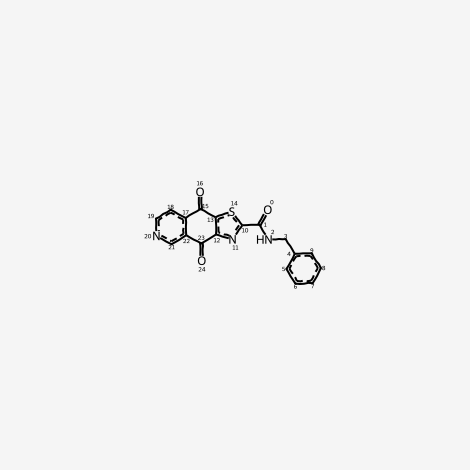 O=C(NCc1ccccc1)c1nc2c(s1)C(=O)c1ccncc1C2=O